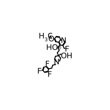 COc1ccc2ncc(CF)c([C@H](O)CCC3(CO)CCN(CCCc4c(F)cc(F)cc4F)CC3)c2c1